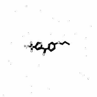 CCCOc1ccc(C(=O)c2cc(S(N)(=O)=O)cs2)cc1